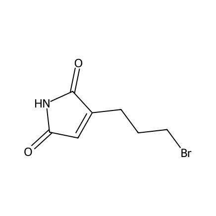 O=C1C=C(CCCBr)C(=O)N1